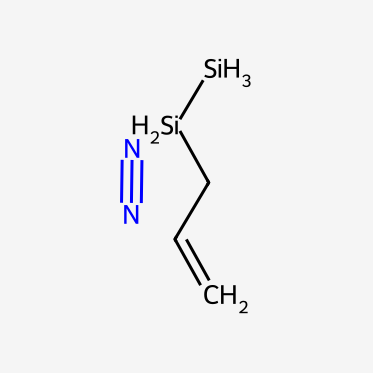 C=CC[SiH2][SiH3].N#N